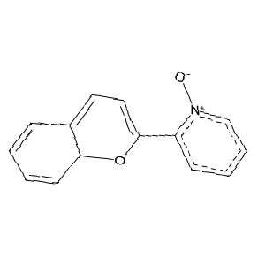 [O-][n+]1ccccc1C1=CC=C2C=CC=CC2O1